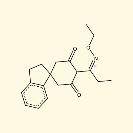 CCO/N=C(/CC)C1C(=O)CC2(CCc3ccccc32)CC1=O